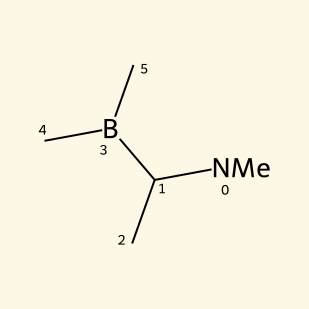 CNC(C)B(C)C